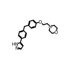 c1cc(-c2ccc(Cc3ccc(OCCN4CCOCC4)cc3)cc2)[nH]n1